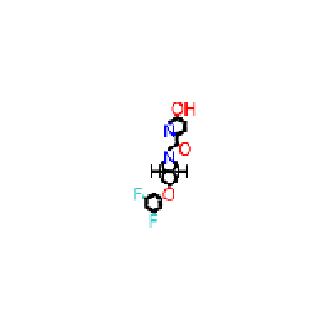 O=C(CN1C[C@H]2CC(Oc3cc(F)cc(F)c3)C[C@H]2C1)c1ccc(O)cn1